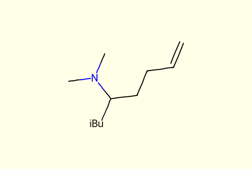 C=CCCC(C(C)CC)N(C)C